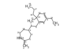 C=C1CCC(CCC2=CC(CC)=CCC2(C)CCC)CCN1